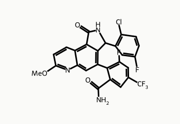 COc1ccc2c3c(c(-c4c(F)cc(C(F)(F)F)cc4C(N)=O)cc2n1)C(c1cc(F)ccc1Cl)NC3=O